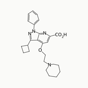 O=C(O)c1cc(OCCN2CCCCCC2)c2c(C3CCC3)nn(-c3ccccc3)c2n1